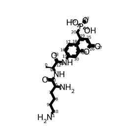 C[C@H](NC(=O)C(N)CCCCN)C(=O)Nc1ccc2c(CP(=O)(O)O)cc(=O)oc2c1